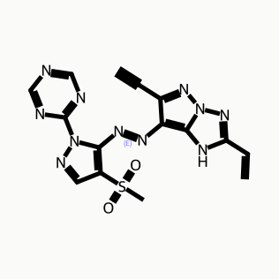 C#Cc1nn2nc(C=C)[nH]c2c1/N=N/c1c(S(C)(=O)=O)cnn1-c1ncncn1